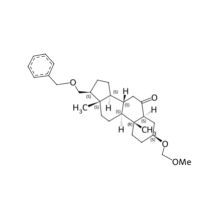 COCO[C@H]1CC[C@@]2(C)[C@H](C1)C(=O)C[C@@H]1[C@@H]2CC[C@]2(C)[C@@H](COCc3ccccc3)CC[C@@H]12